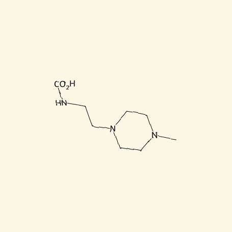 CN1CCN(CCNC(=O)O)CC1